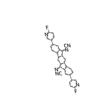 [C-]#[N+]/N=c1\c2cc(-c3ccc(F)nc3)ccc2c2cc3/c(=N/C#N)c4cc(-c5ccc(F)nc5)ccc4c3cc12